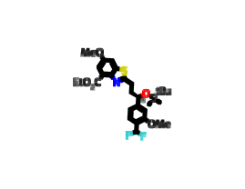 CCOC(=O)c1cc(OC)cc2sc(CC[C@@H](O[Si](C)(C)C(C)(C)C)c3ccc(C(F)F)c(OC)c3)nc12